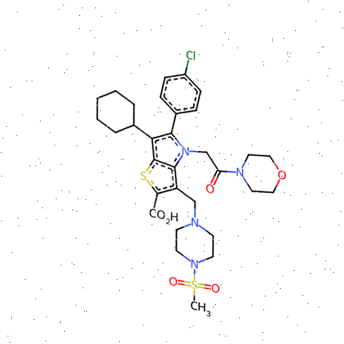 CS(=O)(=O)N1CCN(Cc2c(C(=O)O)sc3c(C4CCCCC4)c(-c4ccc(Cl)cc4)n(CC(=O)N4CCOCC4)c23)CC1